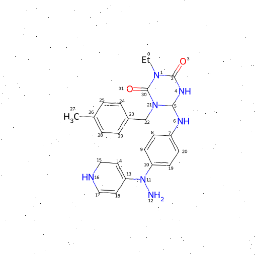 CCN1C(=O)NC(Nc2ccc(N(N)C3=CCNC=C3)cc2)N(Cc2ccc(C)cc2)C1=O